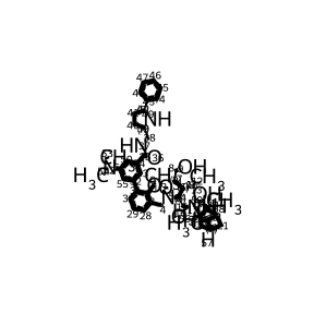 COc1c(CN2O[C@@H](CO)[C@H]([C@H](C)O)[C@H]2C(=O)N[C@H]2C[C@H]3C[C@@H]([C@@H]2C)C3(C)C)cccc1-c1cc(C(=O)NC[C@H]2CC[C@@H](c3ccccc3)N2)cc(N(C)C)c1